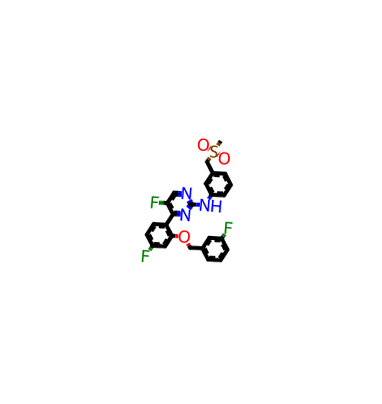 CS(=O)(=O)Cc1cccc(Nc2ncc(F)c(-c3ccc(F)cc3OCc3cccc(F)c3)n2)c1